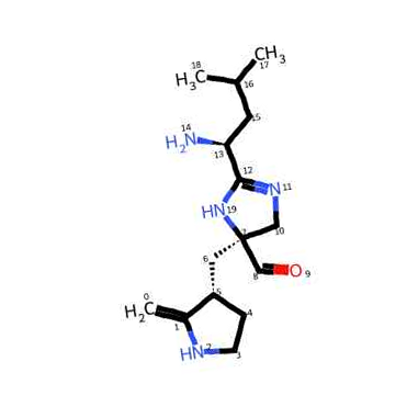 C=C1NCC[C@H]1C[C@@]1(C=O)CN=C([C@@H](N)CC(C)C)N1